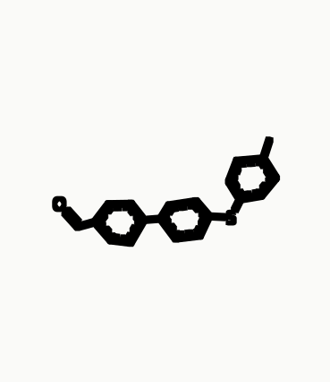 Cc1ccc(Sc2ccc(-c3ccc(C=O)cc3)cc2)cc1